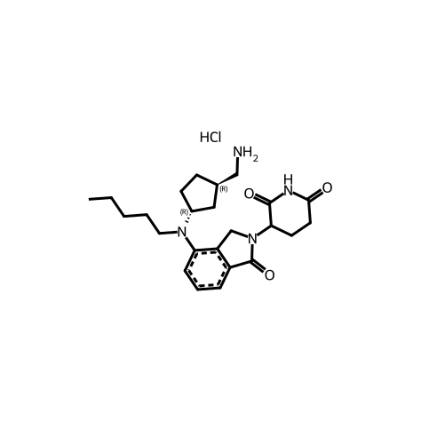 CCCCCN(c1cccc2c1CN(C1CCC(=O)NC1=O)C2=O)[C@@H]1CC[C@@H](CN)C1.Cl